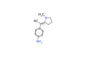 CN1CCC/C1=C(/C#N)c1ccc(N)cc1